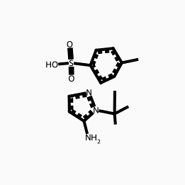 CC(C)(C)n1nccc1N.Cc1ccc(S(=O)(=O)O)cc1